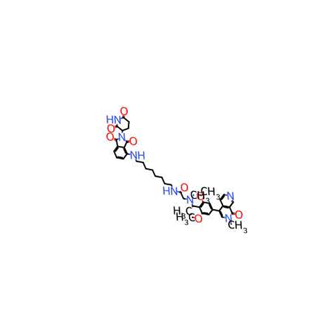 COc1cc(-c2cn(C)c(=O)c3cnccc23)cc(OC)c1C(C)N(C)CC(=O)NCCCCCCCCNc1cccc2c1C(=O)N(C1CCC(=O)NC1=O)C2=O